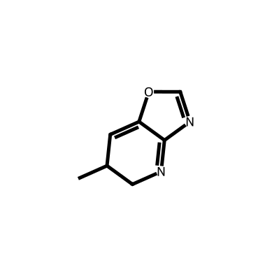 CC1C=c2ocnc2=NC1